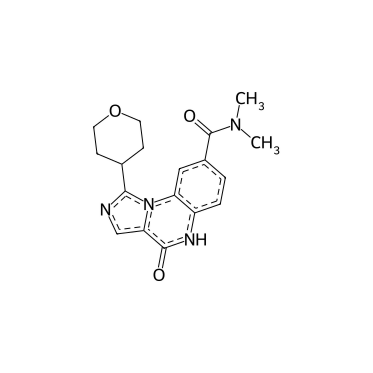 CN(C)C(=O)c1ccc2[nH]c(=O)c3cnc(C4CCOCC4)n3c2c1